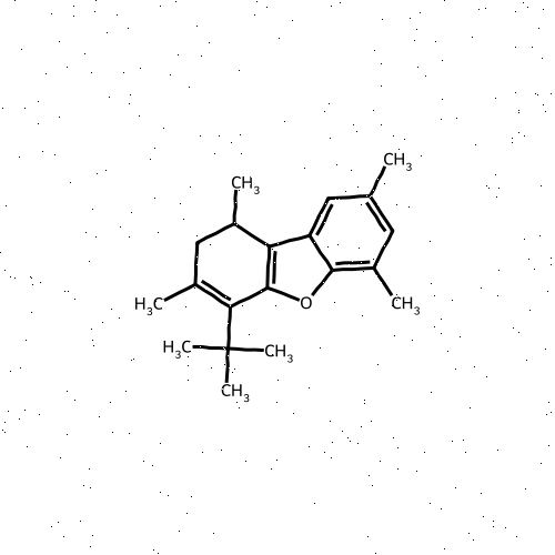 CC1=C(C(C)(C)C)c2oc3c(C)cc(C)cc3c2C(C)C1